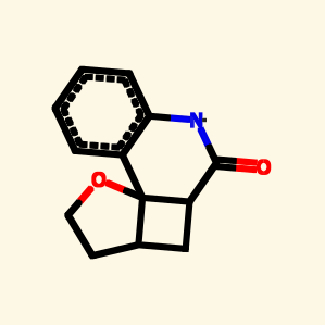 O=C1[N]c2ccccc2C23OCCC2CC13